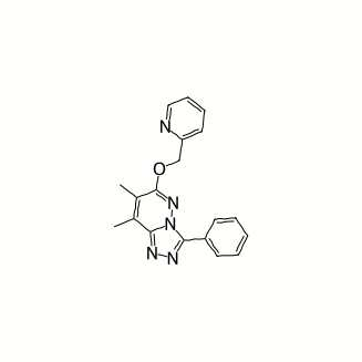 Cc1c(OCc2ccccn2)nn2c(-c3ccccc3)nnc2c1C